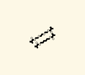 C=C(C)C(=O)OCCCCCCOC(=O)C(=C)C.C=C(C)C(=O)OCCOCCOCCOC(=O)C(=C)C